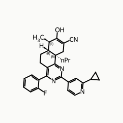 CCC[C@@]12CC(C#N)=C(O)[C@H](C)[C@H]1CCc1c(-c3ccccc3F)nc(-c3ccnc(C4CC4)c3)nc12